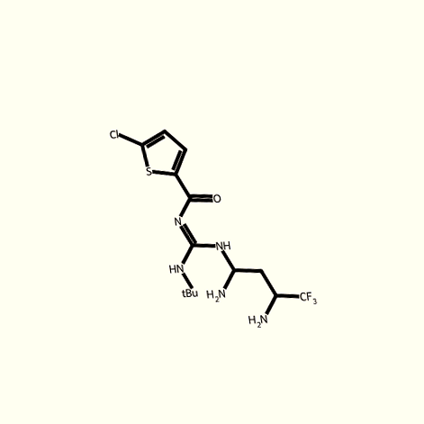 CC(C)(C)N/C(=N/C(=O)c1ccc(Cl)s1)NC(N)CC(N)C(F)(F)F